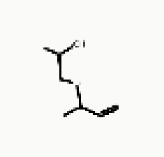 C=CC(C)OCC(C)O